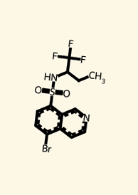 CCC(NS(=O)(=O)c1ccc(Br)c2ccncc12)C(F)(F)F